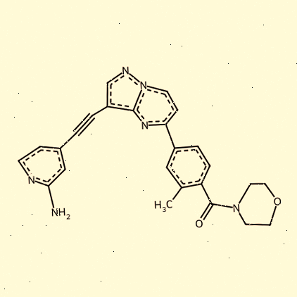 Cc1cc(-c2ccn3ncc(C#Cc4ccnc(N)c4)c3n2)ccc1C(=O)N1CCOCC1